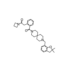 CC1(C)Cc2cccc(CN3CCC4(CC3)CCN(C(=O)c3ccccc3CC(=O)N3CCC3)CC4)c2O1